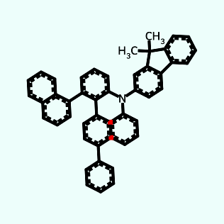 CC1(C)c2ccccc2-c2ccc(N(c3ccccc3)c3cccc(-c4cccc5ccccc45)c3-c3ccc(-c4ccccc4)cc3)cc21